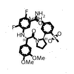 COc1ccc([C@H](Nc2cc(C(N)=O)c(F)cc2F)C(=O)N2CCC[C@@H]2c2cc(NC(C)=O)ccc2S(C)(=O)=O)cc1OC